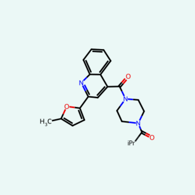 Cc1ccc(-c2cc(C(=O)N3CCN(C(=O)C(C)C)CC3)c3ccccc3n2)o1